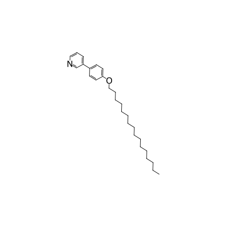 CCCCCCCCCCCCCCCCOc1ccc(-c2cccnc2)cc1